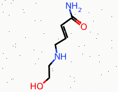 NC(=O)C=CCNCCO